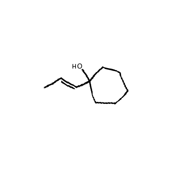 CC=CC1(O)CCCCC1